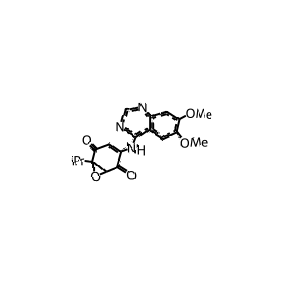 COc1cc2ncnc(NC3=CC(=O)C4(C(C)C)OC4C3=O)c2cc1OC